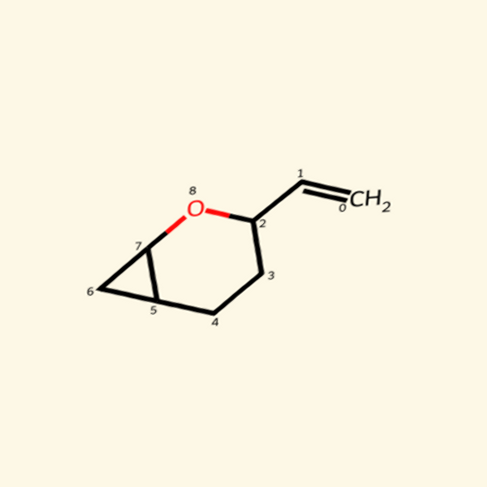 C=CC1CCC2CC2O1